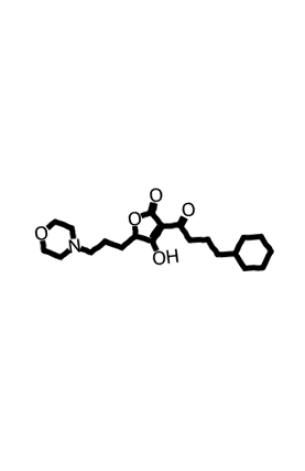 O=C(CCCC1CCCCC1)C1=C(O)C(CCCN2CCOCC2)OC1=O